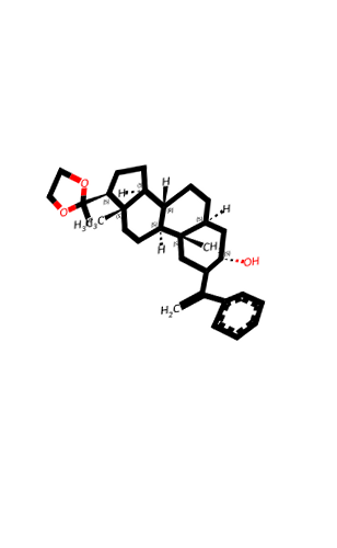 C=C(c1ccccc1)C1C[C@@]2(C)[C@@H](CC[C@@H]3[C@@H]2CC[C@]2(C)[C@@H](C4(C)OCCO4)CC[C@@H]32)C[C@@H]1O